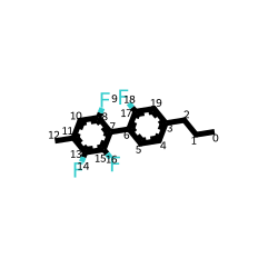 CCCc1ccc(-c2c(F)cc(C)c(F)c2F)c(F)c1